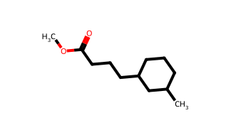 COC(=O)CCCC1CCC[C](C)C1